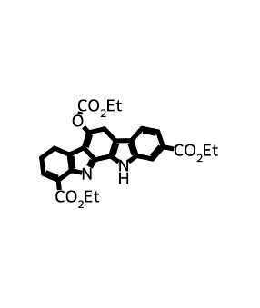 CCOC(=O)OC1=C2C(=NC3=C2CCC=C3C(=O)OCC)c2[nH]c3cc(C(=O)OCC)ccc3c2C1